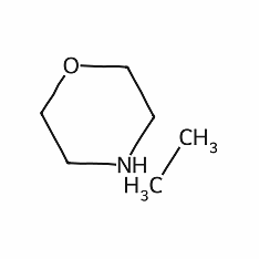 C1COCCN1.CC